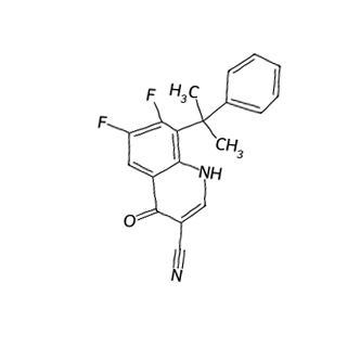 CC(C)(c1ccccc1)c1c(F)c(F)cc2c(=O)c(C#N)c[nH]c12